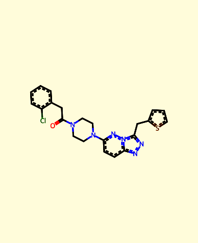 O=C(Cc1ccccc1Cl)N1CCN(c2ccc3nnc(Cc4cccs4)n3n2)CC1